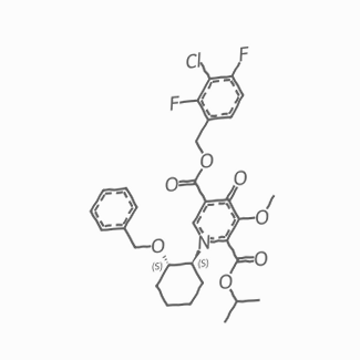 COc1c(C(=O)OC(C)C)n([C@H]2CCCC[C@@H]2OCc2ccccc2)cc(C(=O)OCc2ccc(F)c(Cl)c2F)c1=O